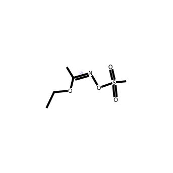 CCO/C(C)=N\OS(C)(=O)=O